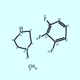 C.CN1CCNCC1.Fc1cccc(F)c1F